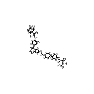 Cc1cc(-c2ncnn3cc(CCN4CCC(c5ccc(OC6CCC(=O)NC6=O)cc5)CC4)cc23)ccc1CNC(=O)c1noc(C(C)(C)C)n1